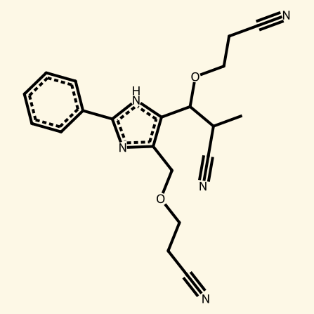 CC(C#N)C(OCCC#N)c1[nH]c(-c2ccccc2)nc1COCCC#N